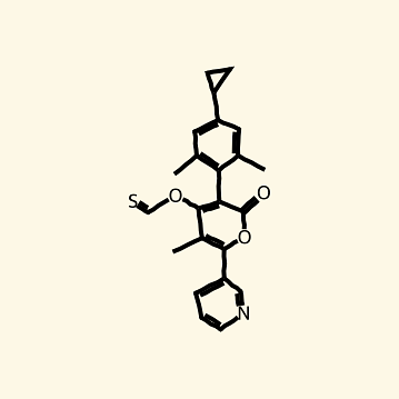 Cc1cc(C2CC2)cc(C)c1-c1c(OC=S)c(C)c(-c2cccnc2)oc1=O